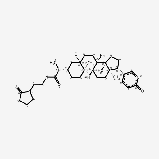 CN(C(=O)NCCN1CCCC1=O)[C@H]1CC[C@@]2(C)[C@H](CC[C@@H]3[C@@H]2CC[C@]2(C)[C@@H](c4ccc(=O)oc4)CC[C@]32O)C1